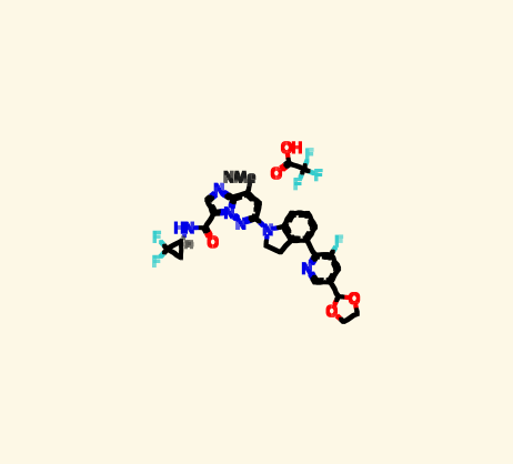 CNc1cc(N2CCc3c(-c4ncc(C5OCCO5)cc4F)cccc32)nn2c(C(=O)N[C@@H]3CC3(F)F)cnc12.O=C(O)C(F)(F)F